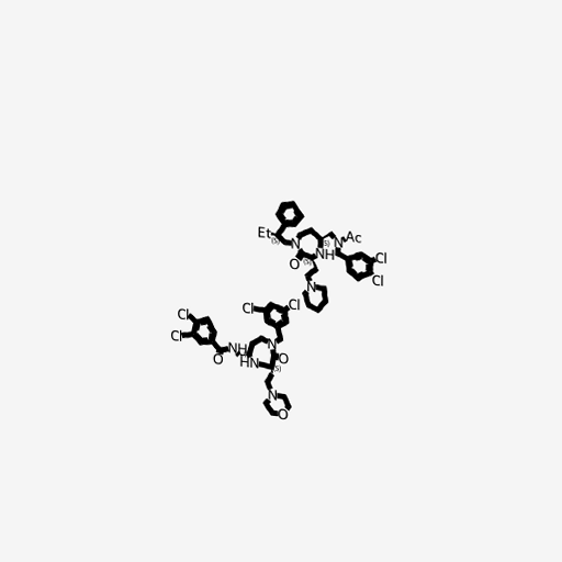 CC[C@H](CN1CC[C@@H](CN(Cc2ccc(Cl)c(Cl)c2)C(C)=O)N[C@@H](CCN2CCCCC2)C1=O)c1ccccc1.O=C(NC[C@@H]1CCN(Cc2cc(Cl)cc(Cl)c2)C(=O)[C@H](CCN2CCOCC2)N1)c1ccc(Cl)c(Cl)c1